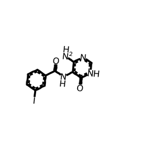 Nc1nc[nH]c(=O)c1NC(=O)c1cccc(I)c1